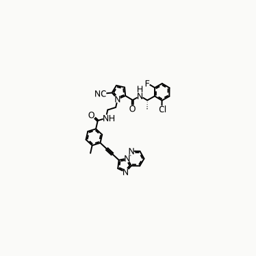 Cc1ccc(C(=O)NCCn2c(C#N)ccc2C(=O)N[C@@H](C)c2c(F)cccc2Cl)cc1C#Cc1cnc2cccnn12